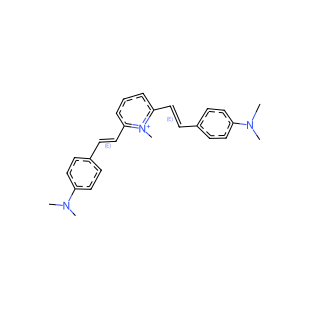 CN(C)c1ccc(/C=C/c2cccc(/C=C/c3ccc(N(C)C)cc3)[n+]2C)cc1